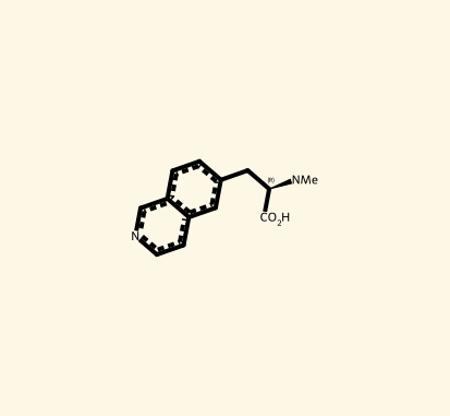 CN[C@H](Cc1ccc2cnccc2c1)C(=O)O